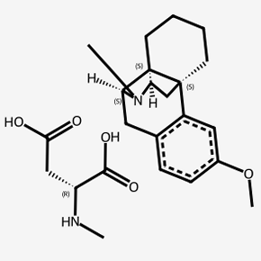 CN[C@H](CC(=O)O)C(=O)O.COc1ccc2c(c1)[C@]13CCCC[C@@H]1[C@H](C2)N(C)CC3